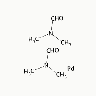 CN(C)C=O.CN(C)C=O.[Pd]